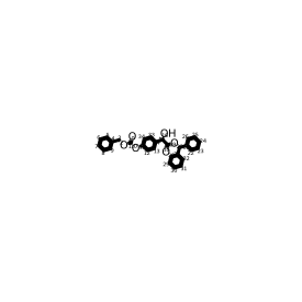 O=C(OCc1ccccc1)Oc1ccc([C@H](O)C(=O)OC(c2ccccc2)c2ccccc2)cc1